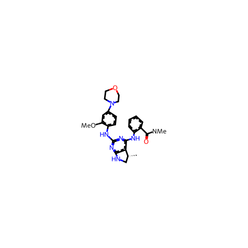 CNC(=O)c1ccccc1Nc1nc(Nc2ccc(N3CCOCC3)cc2OC)nc2c1[C@H](C)CN2